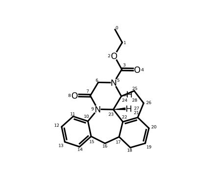 CCOC(=O)N1CC(=O)N2c3ccccc3CC3CC=CC4=C3[C@H]2[C@@H]1CC4